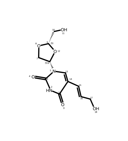 O=c1[nH]c(=O)n([C@@H]2CO[C@H](CO)O2)cc1C=CCO